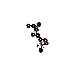 N=C(/N=C(\Nn1c2ccccc2c2cc(-c3ccc4c(c3)c3ccccc3n4-c3ccc4c(c3)c3cc(-c5ccccc5)ccc3n4-c3ccccc3)ccc21)c1ccccc1)c1ccccc1